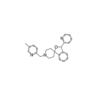 Cc1ccc(CN2CCC3(CC2)OC(c2ccccn2)c2ccccc23)nc1